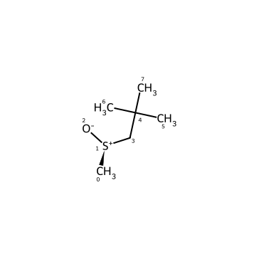 C[S@@+]([O-])CC(C)(C)C